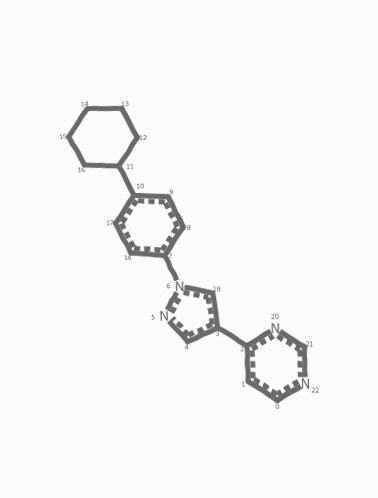 c1cc(-c2cnn(-c3ccc(C4CCCCC4)cc3)c2)ncn1